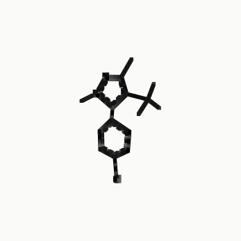 Cc1nn(C)c(-c2ccc(Cl)cc2)c1C(C)(C)C